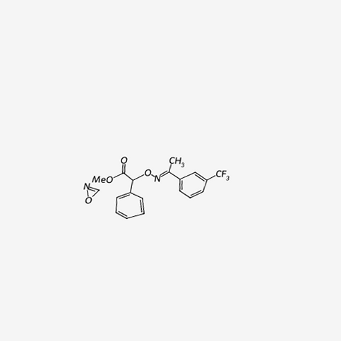 C1=NO1.COC(=O)C(ON=C(C)c1cccc(C(F)(F)F)c1)c1ccccc1